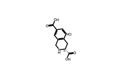 Cl.O=C(O)c1ccc2c(c1)CN[C@@H](C(=O)O)C2